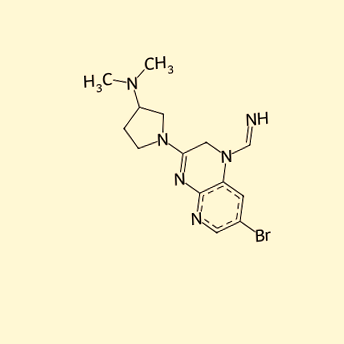 CN(C)C1CCN(C2=Nc3ncc(Br)cc3N(C=N)C2)C1